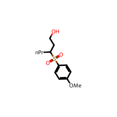 CCCC(CCO)S(=O)(=O)c1ccc(OC)cc1